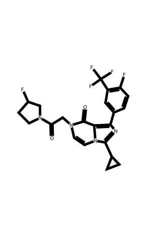 O=C(Cn1ccn2c(C3CC3)nc(-c3ccc(F)c(C(F)(F)F)c3)c2c1=O)N1CCC(F)C1